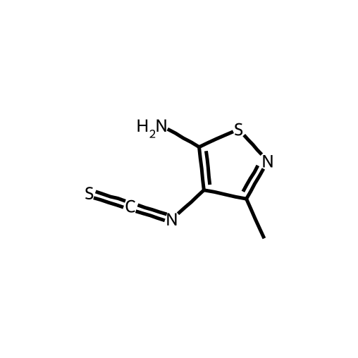 Cc1nsc(N)c1N=C=S